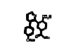 CCCCC(=O)C1CCC(C(=O)O)C(c2nnccc2-c2ccc(OC)cc2)C1